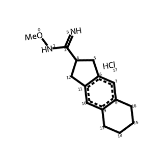 CONC(=N)C1Cc2cc3c(cc2C1)CCCC3.Cl